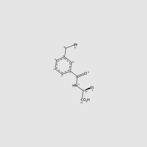 CC[C@H](NC(=O)c1cccc(CC(C)C)c1)C(=O)O